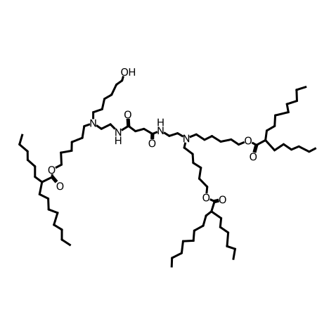 CCCCCCCCC(CCCCCC)C(=O)OCCCCCCN(CCCCCCO)CCNC(=O)CCC(=O)NCCN(CCCCCCOC(=O)C(CCCCCC)CCCCCCCC)CCCCCCOC(=O)C(CCCCCC)CCCCCCCC